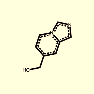 OCc1ccn2cncc2c1